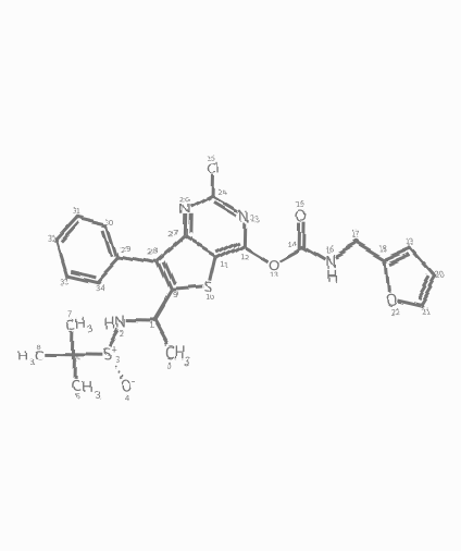 CC(N[S@+]([O-])C(C)(C)C)c1sc2c(OC(=O)NCc3ccco3)nc(Cl)nc2c1-c1ccccc1